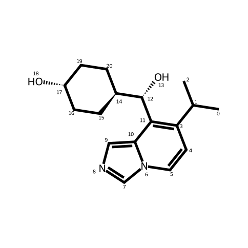 CC(C)c1ccn2cncc2c1[C@@H](O)[C@H]1CC[C@H](O)CC1